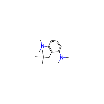 CN(C)c1cccc(N(C)C)c1CC(C)(C)C